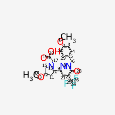 COc1ccc(Cn2nc(C3CC(OC)CN3CC(=O)O)cc(C(F)(F)F)c2=O)cc1